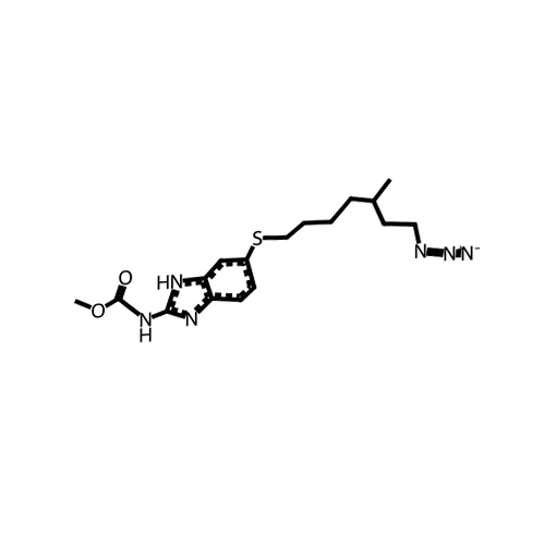 COC(=O)Nc1nc2ccc(SCCCCC(C)CCN=[N+]=[N-])cc2[nH]1